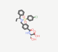 CC[C@@H](c1ccccc1)N(Cc1ccc(C(=O)N[C@@H](CO)C(=O)O)cc1)S(=O)(=O)c1ccc(Cl)cc1